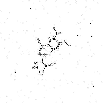 COc1cc(CN[C@@H](CO)C(=O)O)c([N+](=O)[O-])cc1OC